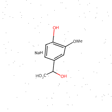 COc1cc(C(O)C(=O)O)ccc1O.[NaH]